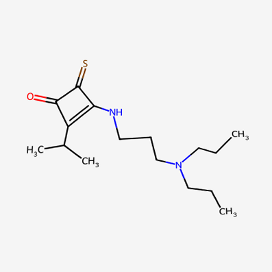 CCCN(CCC)CCCNc1c(C(C)C)c(=O)c1=S